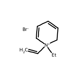 C=C[N+]1(CC)C=CC=CC1.[Br-]